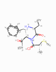 CCC[C@@H](SC(C)=O)C(=O)N(C(=O)[C@@H](N)CC(C)C)[C@@H](Cc1ccccc1)C(=O)NC